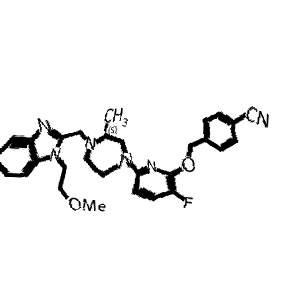 COCCn1c(CN2CCN(c3ccc(F)c(OCc4ccc(C#N)cc4)n3)C[C@@H]2C)nc2ccccc21